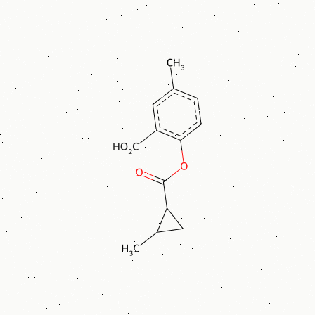 Cc1ccc(OC(=O)C2CC2C)c(C(=O)O)c1